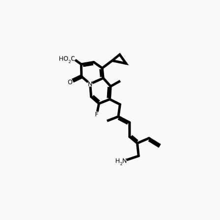 C=C/C(=C\C=C(/C)Cc1c(F)cn2c(=O)c(C(=O)O)cc(C3CC3)c2c1C)CN